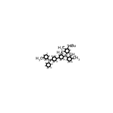 Cc1cccc(N(c2ccccc2)c2ccc(-c3ccc(N(c4cccc(C)c4C)c4ccc(CC(C)(C)C)c(C)c4C)cc3)cc2)c1